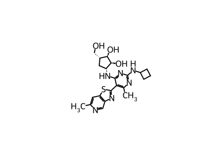 Cc1cc2sc(-c3c(C)nc(NC4CCC4)nc3N[C@@H]3C[C@H](CO)[C@@H](O)[C@H]3O)nc2cn1